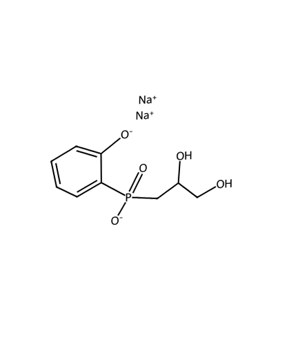 O=P([O-])(CC(O)CO)c1ccccc1[O-].[Na+].[Na+]